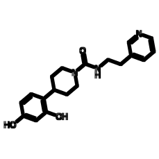 O=C(NCCc1cccnc1)N1CCC(c2ccc(O)cc2O)CC1